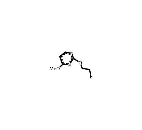 COc1ccnc(OCCF)n1